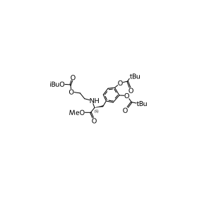 COC(=O)[C@H](Cc1ccc(OC(=O)C(C)(C)C)c(OC(=O)C(C)(C)C)c1)NCCOC(=O)OCC(C)C